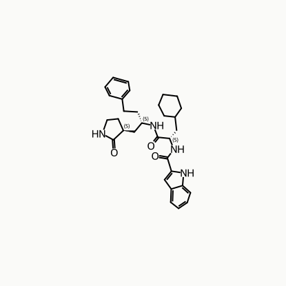 O=C(N[C@@H](CC1CCCCC1)C(=O)N[C@@H](CCc1ccccc1)C[C@@H]1CCNC1=O)c1cc2ccccc2[nH]1